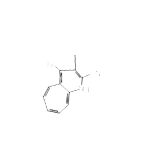 CC1=C(C#N)NC2=CC=CC=CC2=C1Br